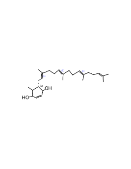 CC(C)=CCC/C(C)=C/CC/C(C)=C/CC/C(C)=C/C[C@@H]1C(O)C=CC(O)C1C